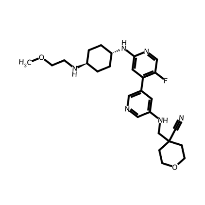 COCCN[C@H]1CC[C@H](Nc2cc(-c3cncc(NCC4(C#N)CCOCC4)c3)c(F)cn2)CC1